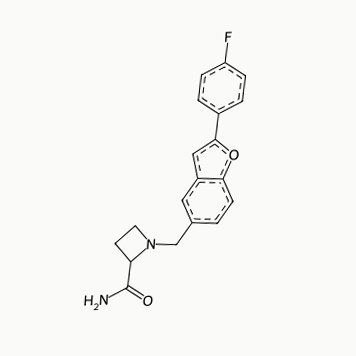 NC(=O)C1CCN1Cc1ccc2oc(-c3ccc(F)cc3)cc2c1